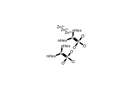 CCCCCCS(CCCCCC)=P([O-])([O-])[O-].CCCCCCS(CCCCCC)=P([O-])([O-])[O-].[Zn+2].[Zn+2].[Zn+2]